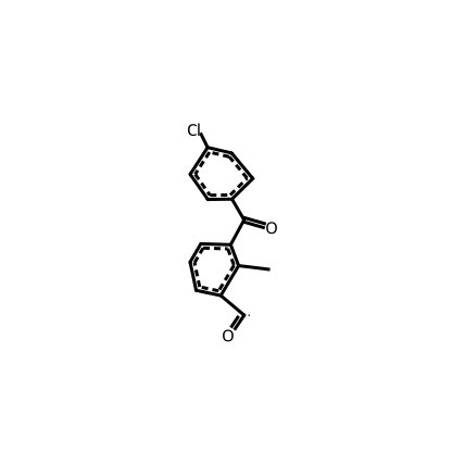 Cc1c([C]=O)cccc1C(=O)c1ccc(Cl)cc1